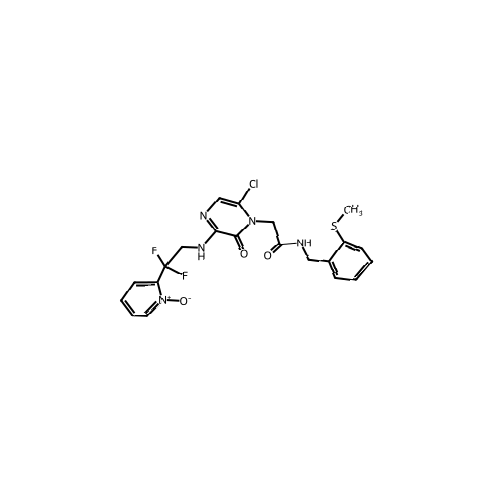 CSc1ccccc1CNC(=O)Cn1c(Cl)cnc(NCC(F)(F)c2cccc[n+]2[O-])c1=O